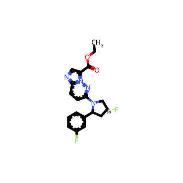 CCOC(=O)c1cnc2ccc(N3C[C@H](F)CC3c3cccc(F)c3)nn12